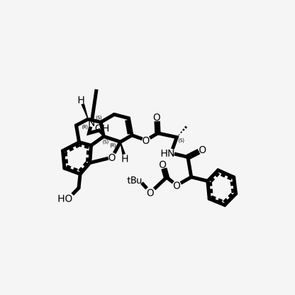 C[C@H](NC(=O)C(OC(=O)OC(C)(C)C)c1ccccc1)C(=O)OC1=CC[C@@]2(O)[C@H]3Cc4ccc(CO)c5c4[C@@]2(CCN3C)[C@H]1O5